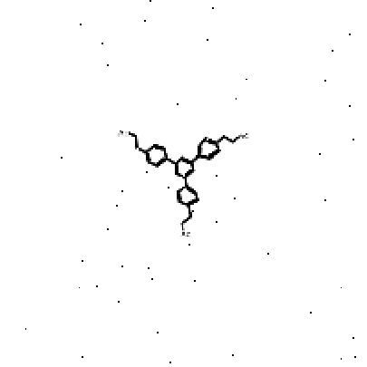 CC(=O)CCc1ccc(-c2cc(-c3ccc(CCC(C)=O)cc3)cc(-c3ccc(CCC(C)=O)cc3)c2)cc1